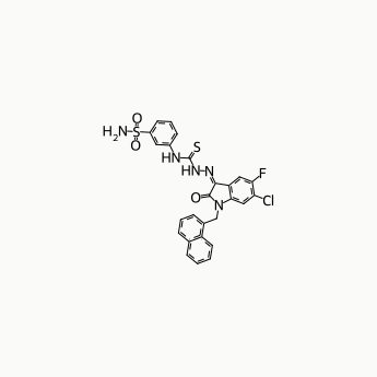 NS(=O)(=O)c1cccc(NC(=S)NN=C2C(=O)N(Cc3cccc4ccccc34)c3cc(Cl)c(F)cc32)c1